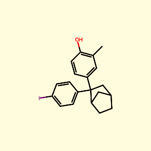 Cc1cc(C2(c3ccc(I)cc3)CC3CCC2C3)ccc1O